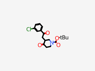 CC(C)(C)OC(=O)N1CCC(=O)C(CC(=O)c2cccc(Cl)c2)C1